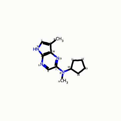 Cc1c[nH]c2ncc(N(C)C3CCCC3)nc12